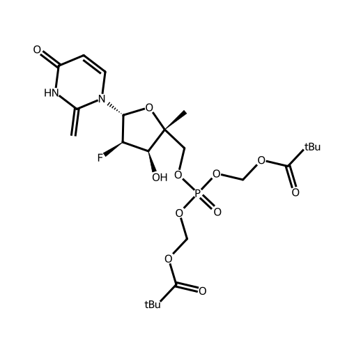 C=C1NC(=O)C=CN1[C@@H]1O[C@](C)(COP(=O)(OCOC(=O)C(C)(C)C)OCOC(=O)C(C)(C)C)[C@@H](O)[C@H]1F